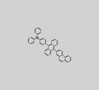 c1ccc(N(c2ccccc2)c2ccc(-c3c4ccccc4c(-c4ccc5c(ccc6ccccc65)c4)c4ccccc34)cc2)cc1